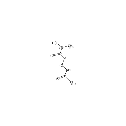 CC(=O)NOCC(=O)N(C)C